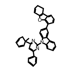 CC1(c2cc(-c3ccccc3)nc(-n3c4ccccc4c4cc(-c5cccc6c7c(oc56)C=CCC7)ccc43)n2)C=CC=CC1